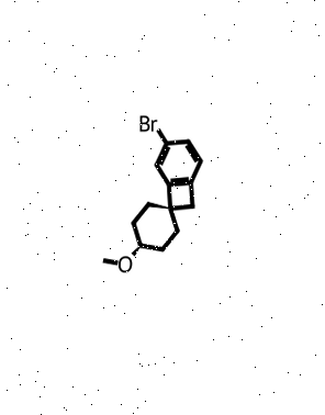 CO[C@H]1CC[C@]2(CC1)Cc1ccc(Br)cc12